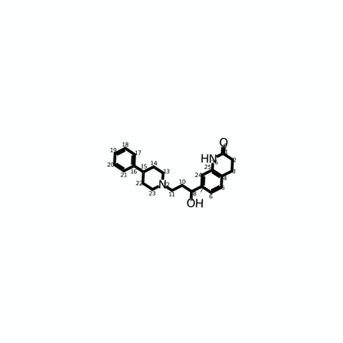 O=C1CCc2ccc(C(O)CCN3CCC(c4ccccc4)CC3)cc2N1